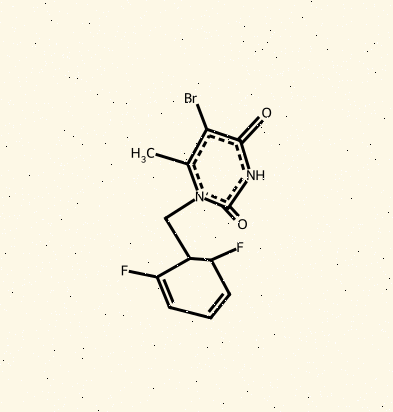 Cc1c(Br)c(=O)[nH]c(=O)n1CC1C(F)=CC=CC1F